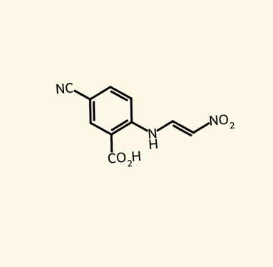 N#Cc1ccc(N/C=C/[N+](=O)[O-])c(C(=O)O)c1